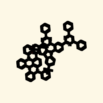 CC(C)(C)c1ccc2c(c1)c1cc(C(C)(C)C)ccc1n2-c1ccc(-c2nc(-c3ccccc3)cc(-c3ccccc3)n2)cc1-c1nc(-c2ccccc2)nc(-c2cccc(-c3ccc4c5c3N(c3ccccc3)c3ccccc3B5c3ccccc3N4c3ccccc3)c2)n1